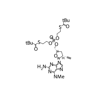 C#C[C@H]1C[C@@H](COP(=O)(OCCSC(=O)C(C)(C)C)OCCSC(=O)C(C)(C)C)O[C@H]1n1cnc2c(NC)nc(N)nc21